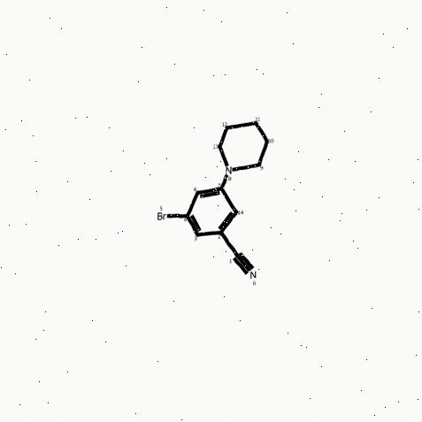 N#Cc1cc(Br)cc(N2CCCCC2)c1